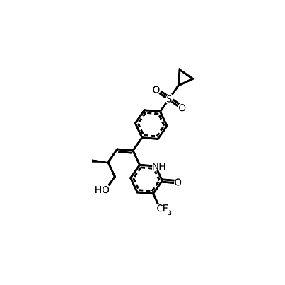 C[C@@H](C=C(c1ccc(S(=O)(=O)C2CC2)cc1)c1ccc(C(F)(F)F)c(=O)[nH]1)CO